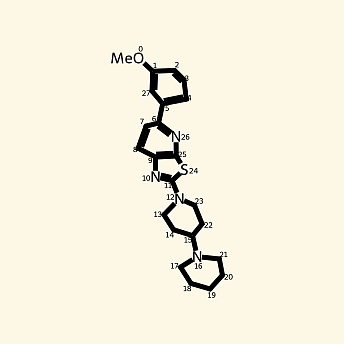 COc1cccc(-c2ccc3nc(N4CCC(N5CCCCC5)CC4)sc3n2)c1